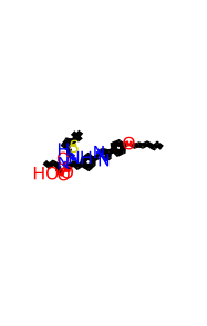 CCCCCCCOc1ccc(-c2cnc(-c3ccc(CC(NC(=O)c4ccc(C(C)(C)C)s4)C(=O)NC(CCC)C(=O)O)cc3)nc2)cc1